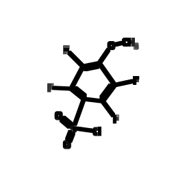 COc1c(F)c(F)c(S(=O)(=O)Cl)c(F)c1F